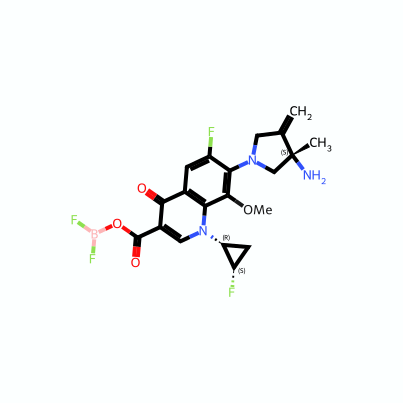 C=C1CN(c2c(F)cc3c(=O)c(C(=O)OB(F)F)cn([C@@H]4C[C@@H]4F)c3c2OC)C[C@@]1(C)N